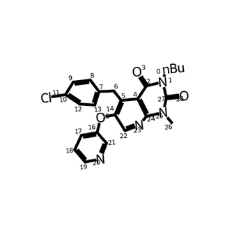 CCCCn1c(=O)c2c(Cc3ccc(Cl)cc3)c(Oc3cccnc3)cnc2n(C)c1=O